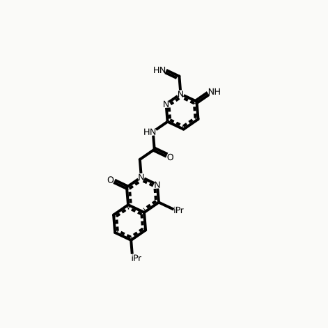 CC(C)c1ccc2c(=O)n(CC(=O)Nc3ccc(=N)n(C=N)n3)nc(C(C)C)c2c1